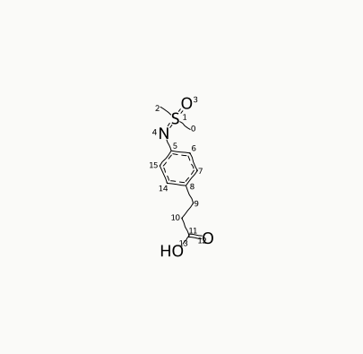 CS(C)(=O)=Nc1ccc(CCC(=O)O)cc1